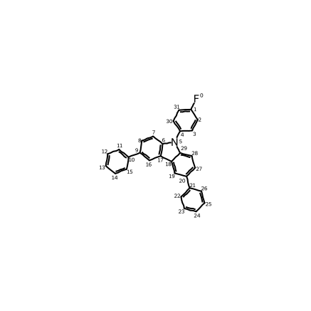 Fc1ccc(-n2c3ccc(-c4ccccc4)cc3c3cc(-c4ccccc4)ccc32)cc1